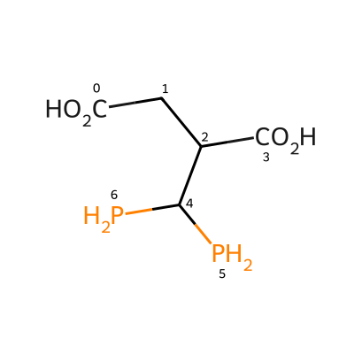 O=C(O)CC(C(=O)O)C(P)P